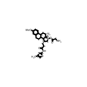 COc1ccc2c(c1)CCC1C2CC[C@@]2(C)C1[C@H](CCC(=O)Nc1ncc(C)s1)CP2OC(=O)CN